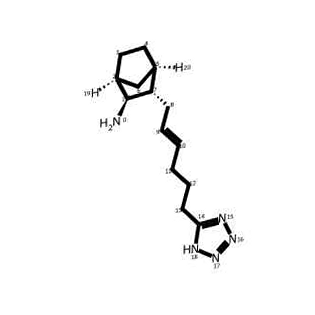 N[C@H]1[C@H]2CC[C@H](C2)[C@@H]1CC=CCCCc1nnn[nH]1